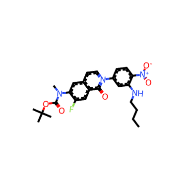 CCCCNc1cc(-n2ccc3cc(N(C)C(=O)OC(C)(C)C)c(F)cc3c2=O)ccc1[N+](=O)[O-]